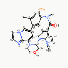 Cc1cc(P)c(N(C)C(=O)c2ccnc3c2ccn3C(C)C)cc1-c1cc(N2CCOCC2)c2nccn2c1